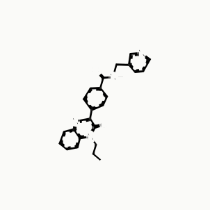 CCCn1c(=O)c(-c2ccc(C(=O)NCc3cccnc3)cc2)nc2ccccc21